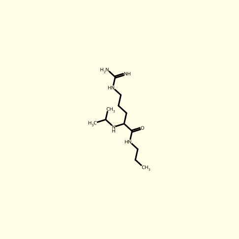 CCCNC(=O)C(CCCNC(=N)N)NC(C)C